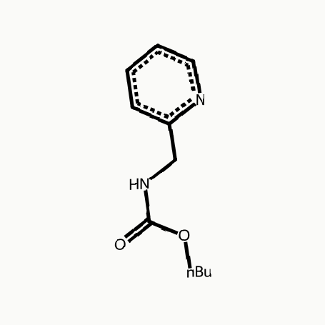 CCCCOC(=O)NCc1ccccn1